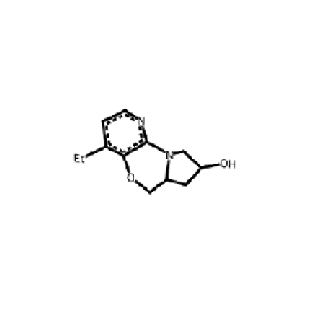 CCc1ccnc2c1OCC1CC(O)CN21